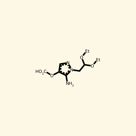 CCOC(Cn1ncc(OC(=O)O)c1N)OCC